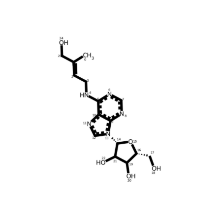 C/C(=C\CNc1ncnc2c1ncn2[C@@H]1O[C@H](CO)C(O)C1O)CO